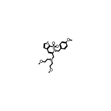 COCCN(CCOC)CC1=Cc2ccsc2S(=O)(=O)N1Cc1ccc(OC)cc1